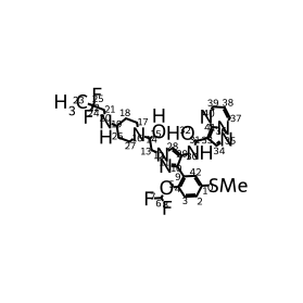 CSc1ccc(OC(F)F)c(-c2nn(CC(O)N3CCC(NCC(C)(F)F)CC3)cc2NC(O)c2cnn3cccnc23)c1